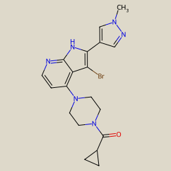 Cn1cc(-c2[nH]c3nccc(N4CCN(C(=O)C5CC5)CC4)c3c2Br)cn1